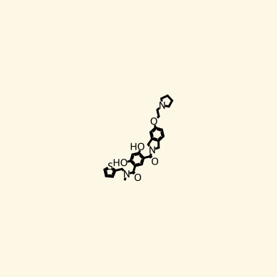 CN(Cc1cccs1)C(=O)c1cc(C(=O)N2Cc3ccc(OCCN4CCCC4)cc3C2)c(O)cc1O